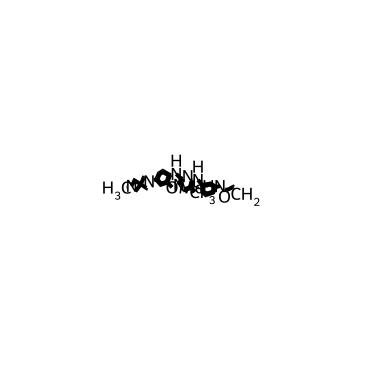 C=CC(=O)Nc1cccc(Nc2nc(Nc3ccc(N4CC5(CN(C)C5)C4)cc3OC)ncc2C(F)(F)F)c1